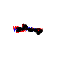 COc1ccc(CC(=O)NCc2ccc(N(C)C(=O)CCN3CCC(N(C(=O)O)c4ccccc4-c4ccccc4)CC3)cc2)cc1C[C@H](C)NC[C@H](O)c1ccc(O)c2[nH]c(=O)ccc12